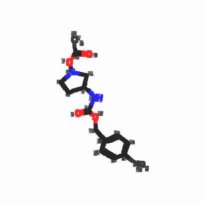 O=C(N[C@H]1CCN(OC(=O)C(F)(F)F)C1)OCc1ccc([N+](=O)[O-])cc1